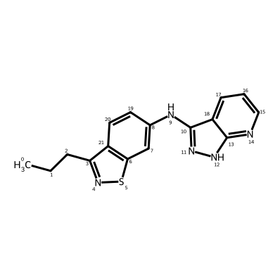 CCCc1nsc2cc(Nc3n[nH]c4ncccc34)ccc12